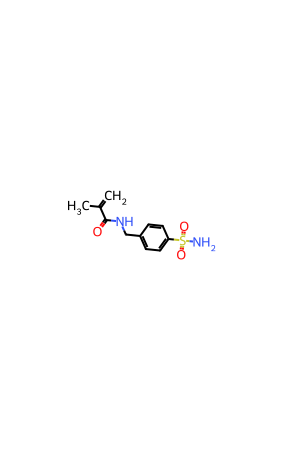 C=C(C)C(=O)NCc1ccc(S(N)(=O)=O)cc1